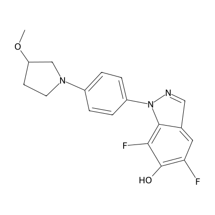 COC1CCN(c2ccc(-n3ncc4cc(F)c(O)c(F)c43)cc2)C1